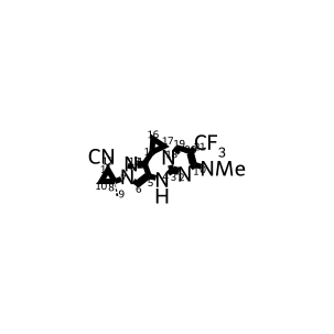 CNc1nc(Nc2cn([C@@]3(C)C[C@H]3C#N)nc2C2CC2)ncc1C(F)(F)F